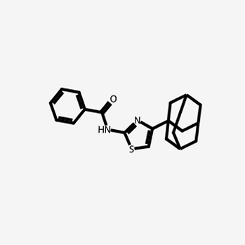 O=C(Nc1nc(C23CC4CC(CC(C4)C2)C3)cs1)c1ccccc1